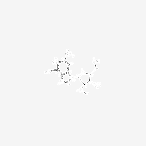 CO[C@@H]1[C@H](O)[C@@H](CO)O[C@H]1n1cnc2c(=O)[nH]c(N)cc21